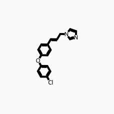 Clc1ccc(Oc2ccc(C=CCn3ccnc3)cc2)cc1